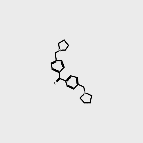 O=C(c1ccc(CN2CCCC2)cc1)c1ccc(CN2CCCC2)cc1